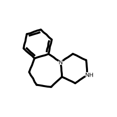 c1ccc2c(c1)CCCC1CNCCN21